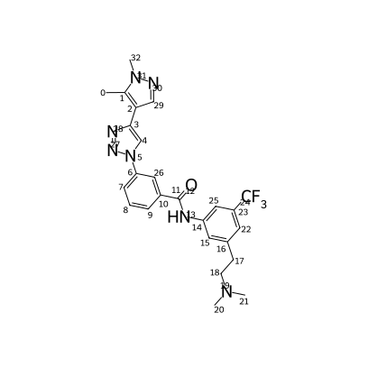 Cc1c(-c2cn(-c3cccc(C(=O)Nc4cc(CCN(C)C)cc(C(F)(F)F)c4)c3)nn2)cnn1C